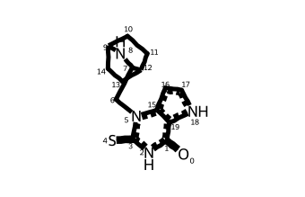 O=c1[nH]c(=S)n(CC2NC3CCC2CC3)c2cc[nH]c12